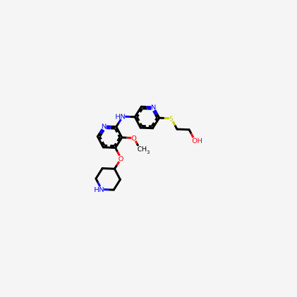 COc1c(OC2CCNCC2)ccnc1Nc1ccc(SCCO)nc1